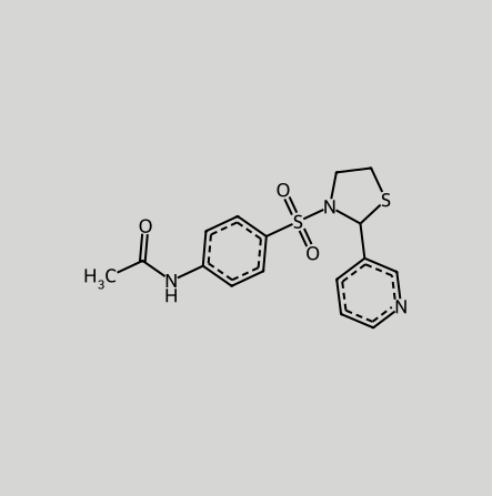 CC(=O)Nc1ccc(S(=O)(=O)N2CCSC2c2cccnc2)cc1